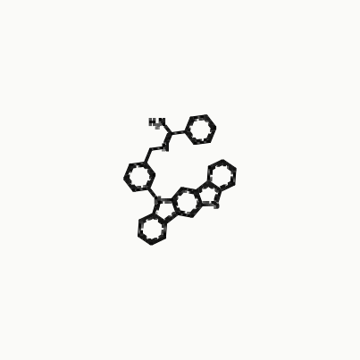 N/C(=N\Cc1cccc(-n2c3ccccc3c3cc4sc5ccccc5c4cc32)c1)c1ccccc1